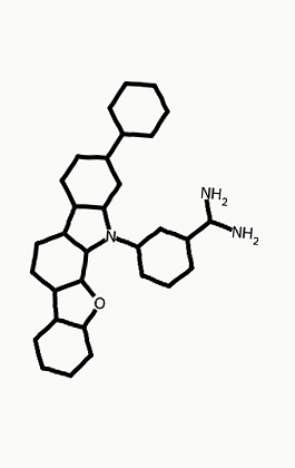 NC(N)C1CCCC(N2C3CC(C4CCCCC4)CCC3C3CCC4C5CCCCC5OC4C32)C1